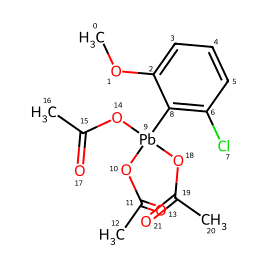 COc1cccc(Cl)[c]1[Pb]([O]C(C)=O)([O]C(C)=O)[O]C(C)=O